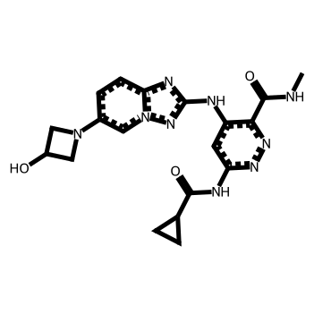 CNC(=O)c1nnc(NC(=O)C2CC2)cc1Nc1nc2ccc(N3CC(O)C3)cn2n1